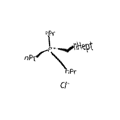 CCCCCCC[P+](CCC)(CCC)CCC.[Cl-]